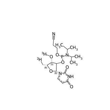 [2H]C[C@H]1O[C@@H](n2ccc(=O)[nH]c2=O)C(OP(OCCC#N)N(C(C)C)C(C)C)[C@H]1O[3H]